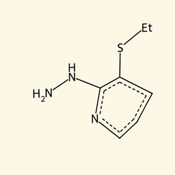 CCSc1cccnc1NN